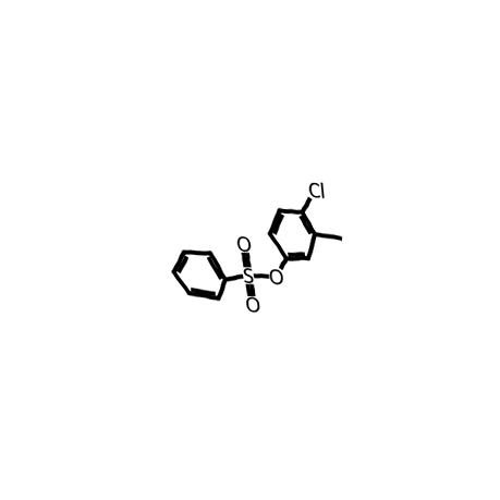 Cc1cc(OS(=O)(=O)c2ccccc2)ccc1Cl